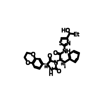 CCC(O)c1csc(NC(=O)[C@H]([C@@H](C)c2ccccc2)N2C(=O)N[C@H](c3ccc4c(c3)OCCO4)C2=O)n1